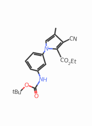 CCOC(=O)c1c(C#N)c(C)cn1-c1cccc(NC(=O)OC(C)(C)C)c1